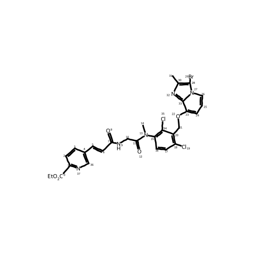 CCOC(=O)c1ccc(C=CC(=O)NCC(=O)N(C)c2ccc(Cl)c(COc3cccn4c(Br)c(C)nc34)c2Cl)cn1